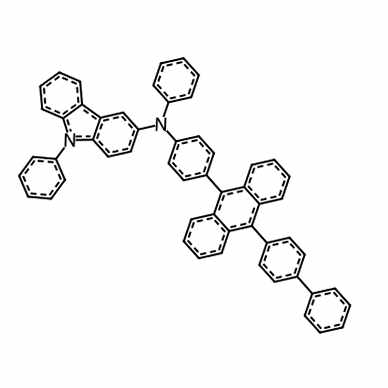 c1ccc(-c2ccc(-c3c4ccccc4c(-c4ccc(N(c5ccccc5)c5ccc6c(c5)c5ccccc5n6-c5ccccc5)cc4)c4ccccc34)cc2)cc1